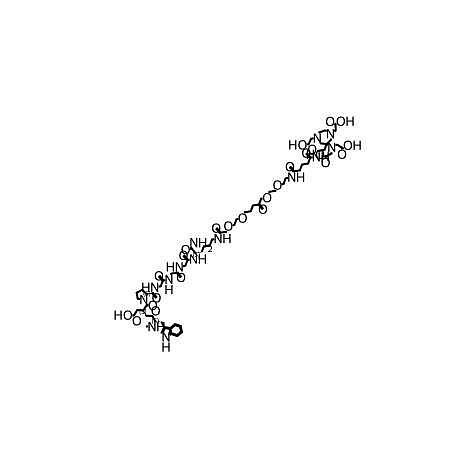 CN[C@@H](Cc1c[nH]c2ccccc12)C(=O)C[C@@H](CC(=O)O)C(=O)N1CCC[C@H]1C(=O)NCC(=O)NCC(=O)NCC(=O)N[C@@H](CCCCNC(=O)COCCOCCCC(=O)COCCOCCNC(=O)CCCC(=O)NCCC1(N(CC(=O)O)CC(=O)O)CN(CC(=O)O)CCN(CC(=O)O)C1)C(N)=O